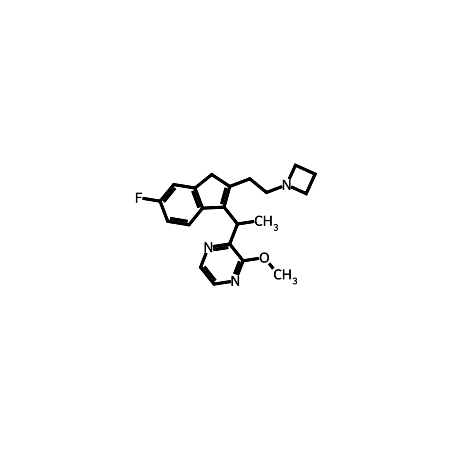 COc1nccnc1C(C)C1=C(CCN2CCC2)Cc2cc(F)ccc21